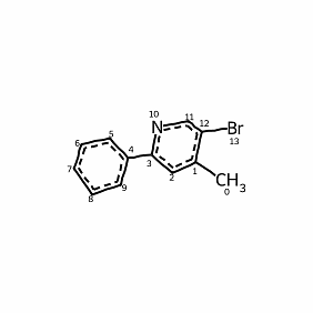 Cc1cc(-c2ccccc2)ncc1Br